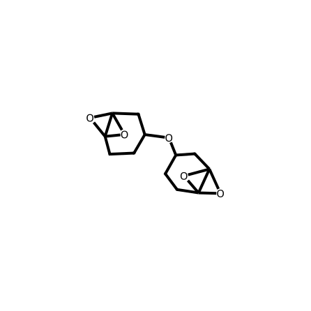 C1CC23OC2(CC1OC1CCC24OC2(C1)O4)O3